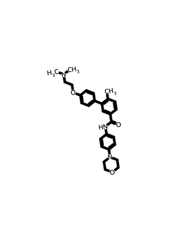 Cc1ccc(C(=O)Nc2ccc(N3CCOCC3)cc2)cc1-c1ccc(OCCN(C)C)cc1